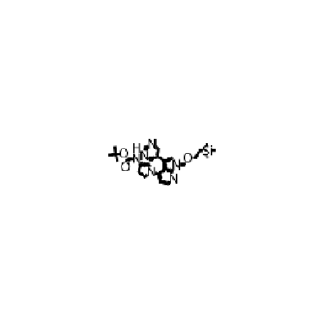 CC(C)(C)OC(=O)N[C@H]1CCN(c2ccnc3c2c(-c2cncnc2)cn3COCC[Si](C)(C)C)C1